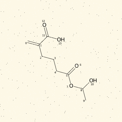 C=C(CCCC(=O)OC(C)O)C(=O)O